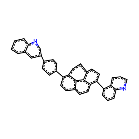 c1ccc2ncc(-c3ccc(-c4ccc5ccc6c(-c7cccc8ncccc78)ccc7ccc4c5c76)cc3)cc2c1